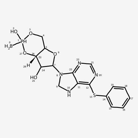 B[PH]1(O)OCC2OC(N3CNc4c(Sc5ccccc5)ncnc43)C(O)[C@@H]2O1